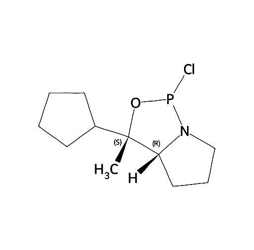 C[C@@]1(C2CCCC2)OP(Cl)N2CCC[C@@H]21